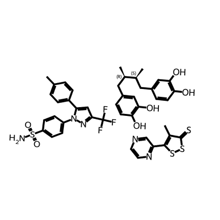 C[C@H](Cc1ccc(O)c(O)c1)[C@@H](C)Cc1ccc(O)c(O)c1.Cc1c(-c2cnccn2)ssc1=S.Cc1ccc(-c2cc(C(F)(F)F)nn2-c2ccc(S(N)(=O)=O)cc2)cc1